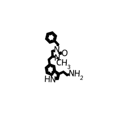 CN1C(=O)N(Cc2ccccc2)CC1Cc1ccc2[nH]cc(CCN)c2c1